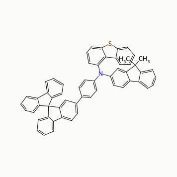 CC1(C)c2ccccc2-c2ccc(N(c3ccc(-c4ccc5c(c4)C4(c6ccccc6-c6ccccc64)c4ccccc4-5)cc3)c3cccc4sc5ccccc5c34)cc21